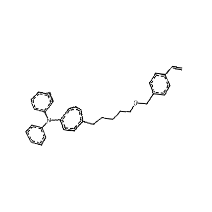 C=Cc1ccc(COCCCCCc2ccc(N(c3ccccc3)c3ccccc3)cc2)cc1